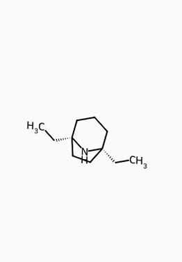 CC[C@]12CCC[C@](CC)(CC1)N2